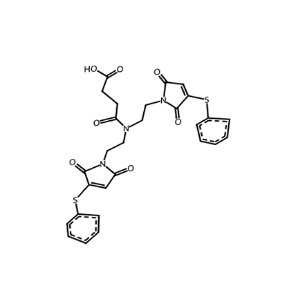 O=C(O)CCC(=O)N(CCN1C(=O)C=C(Sc2ccccc2)C1=O)CCN1C(=O)C=C(Sc2ccccc2)C1=O